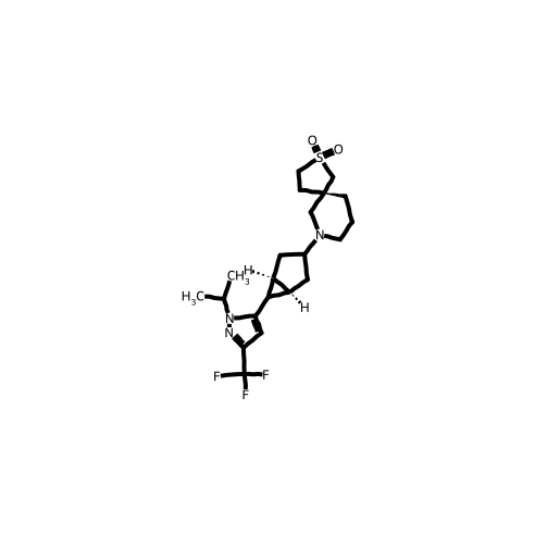 CC(C)n1nc(C(F)(F)F)cc1C1[C@H]2CC(N3CCC[C@]4(CCS(=O)(=O)C4)C3)C[C@@H]12